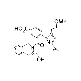 COCCn1cc(C(C)=O)nc1-c1ccc(C(=O)O)cc1C(=O)N1Cc2ccccc2C[C@H]1CO